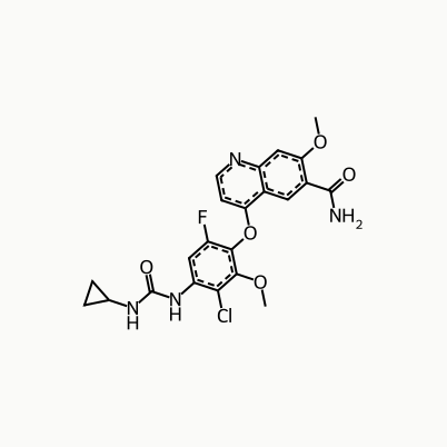 COc1cc2nccc(Oc3c(F)cc(NC(=O)NC4CC4)c(Cl)c3OC)c2cc1C(N)=O